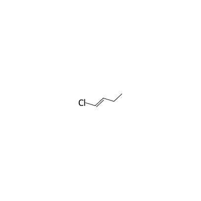 CCC=CCl